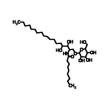 CCCCCCCCCCCCCCC(O)C(O)C(COC1OC(CO)C(O)C(O)C1O)NC(=O)CCCCCCCC